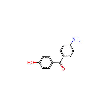 Nc1ccc(C(=O)c2ccc(O)cc2)cc1